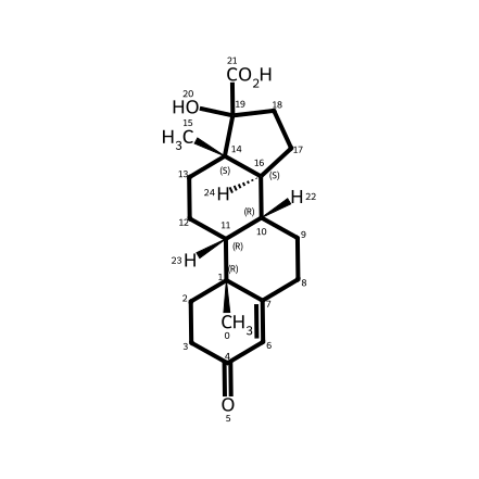 C[C@]12CCC(=O)C=C1CC[C@@H]1[C@H]2CC[C@@]2(C)[C@H]1CCC2(O)C(=O)O